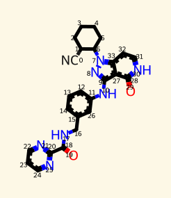 N#CC1CCCCC1n1nc(Nc2cccc(CNC(=O)c3ncccn3)c2)c2c(=O)[nH]ccc21